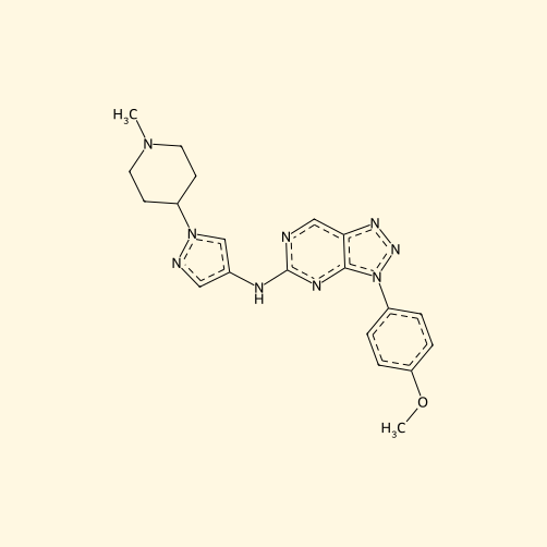 COc1ccc(-n2nnc3cnc(Nc4cnn(C5CCN(C)CC5)c4)nc32)cc1